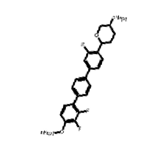 CCCCCCCOc1ccc(-c2ccc(-c3ccc(C4CCC(CCCCCCC)CO4)c(F)c3)cc2)c(F)c1F